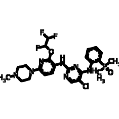 CN1CCN(c2ccc(Nc3ncc(Cl)c(Nc4ccccc4P(C)(C)=O)n3)c(OC(F)C(F)F)n2)CC1